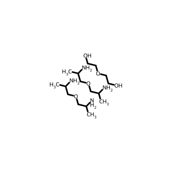 CC(N)COCC(C)N.CC(N)COCC(C)N.OCCOCCO